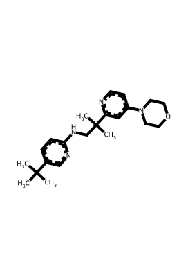 CC(C)(C)c1ccc(NCC(C)(C)c2cc(N3CCOCC3)ccn2)nc1